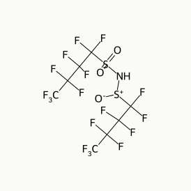 O=S(=O)(N[S+]([O-])C(F)(F)C(F)(F)C(F)(F)C(F)(F)F)C(F)(F)C(F)(F)C(F)(F)C(F)(F)F